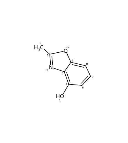 Cc1nc2c(O)cccc2o1